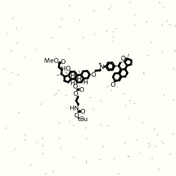 COC(=O)CC[C@@H](C)C1CC[C@H]2[C@@H]3[C@H](OC(=O)OCCCNC(=O)OC(C)(C)C)C[C@@H]4C[C@@H](OCCN(C)c5ccc([C@H]6C[C@]78O[C@@]7(C)CCC8C7CCC8=CC(=O)CCC8=C76)cc5)CC[C@]4(C)[C@H]3C[C@H](O)[C@]12C